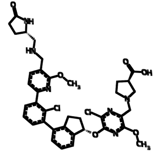 COc1nc(-c2cccc(-c3cccc4c3CC[C@@H]4Oc3nc(OC)c(CN4CC[C@@H](C(=O)O)C4)nc3Cl)c2Cl)ccc1CNC[C@@H]1CCC(=O)N1